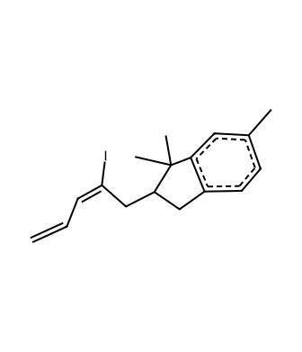 C=C/C=C(/I)CC1Cc2ccc(C)cc2C1(C)C